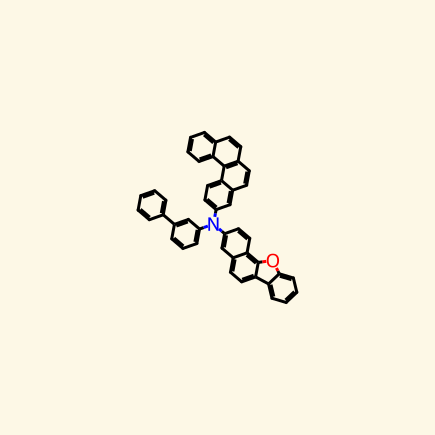 c1ccc(-c2cccc(N(c3ccc4c(ccc5c6ccccc6oc45)c3)c3ccc4c(ccc5ccc6ccccc6c54)c3)c2)cc1